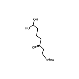 CCCCCCCCC(=O)CCCC(O)O